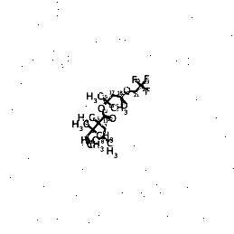 CCC(C)(C)C(C)(CC(C)C)C(=O)OC(C)(C)CC(=O)OCC(F)(F)F